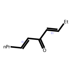 CC/C=C/C(=O)/C=C/CCC